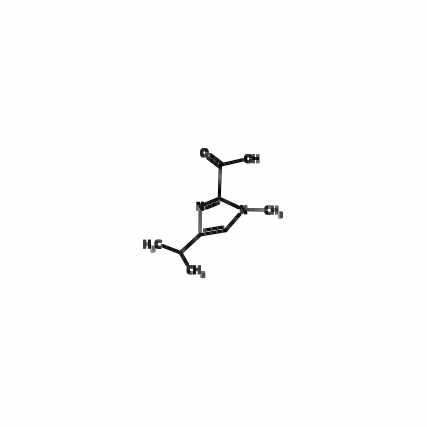 CC(C)c1cn(C)c(C(=O)O)n1